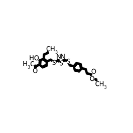 CCCc1c(CSc2nnc(SCc3ccc(CCC(=O)OCC)cc3)s2)ccc(C(C)=O)c1O